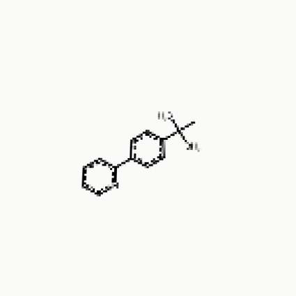 BC(B)(C)c1ccc(-c2ccccn2)cc1